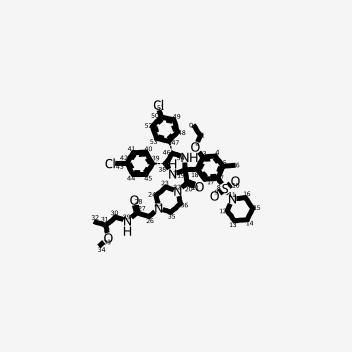 CCOc1cc(C)c(S(=O)(=O)N2CCCCC2)cc1C1(C(=O)N2CCN(CC(=O)NCC(C)OC)CC2)N[C@H](c2ccc(Cl)cc2)[C@H](c2ccc(Cl)cc2)N1